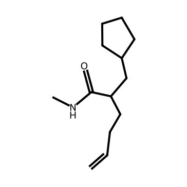 C=CCCC(CC1CCCC1)C(=O)NC